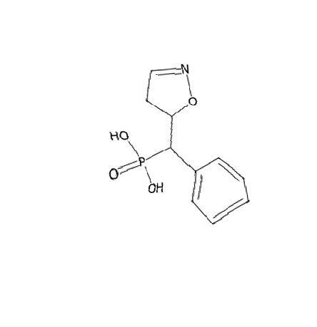 O=P(O)(O)C(c1ccccc1)C1CC=NO1